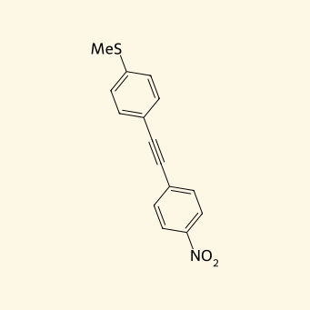 CSc1ccc(C#Cc2ccc([N+](=O)[O-])cc2)cc1